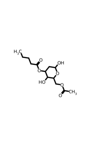 CCCCC(=O)OC1CC(O)OC(COC(C)=O)C1O